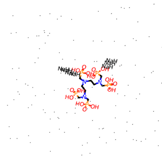 O=P(O)(O)CN(CCN(CP(=O)(O)O)CP(=O)(O)O)CCN(CP(=O)(O)O)CP(=O)(O)O.[NaH].[NaH].[NaH].[NaH].[NaH].[NaH].[NaH]